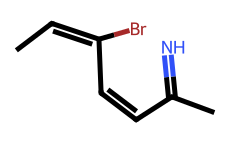 C/C=C(Br)\C=C/C(C)=N